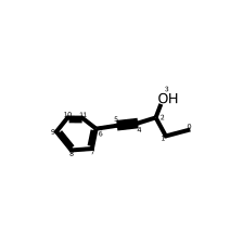 CCC(O)C#Cc1ccccc1